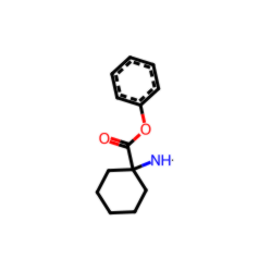 [NH]C1(C(=O)Oc2ccccc2)CCCCC1